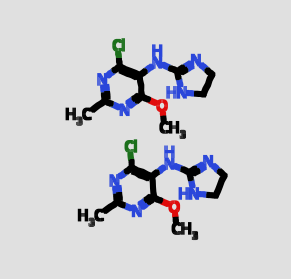 COc1nc(C)nc(Cl)c1NC1=NCCN1.COc1nc(C)nc(Cl)c1NC1=NCCN1